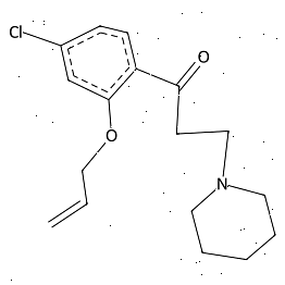 C=CCOc1cc(Cl)ccc1C(=O)CCN1CCCCC1